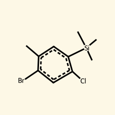 Cc1cc([Si](C)(C)C)c(Cl)cc1Br